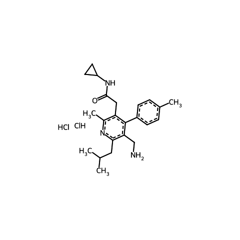 Cc1ccc(-c2c(CC(=O)NC3CC3)c(C)nc(CC(C)C)c2CN)cc1.Cl.Cl